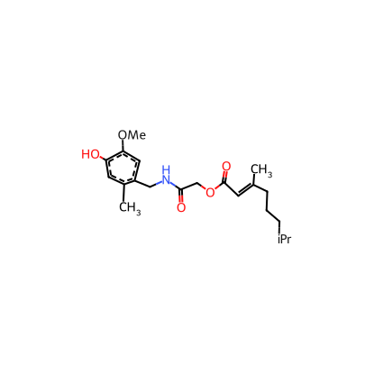 COc1cc(CNC(=O)COC(=O)/C=C(\C)CCCC(C)C)c(C)cc1O